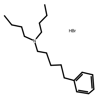 Br.CCCCN(CCCC)CCCCCc1ccccc1